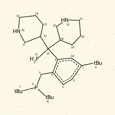 CC(C)(C)c1ccc(CP(C(C)(C)C)C(C)(C)C)c(C(P)(C2CCCNC2)C2CCCNC2)c1